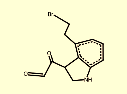 O=CC(=O)C1CNc2cccc(CCBr)c21